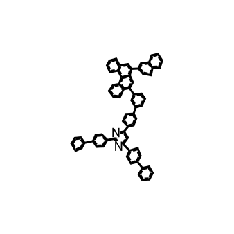 c1ccc(-c2ccc(-c3cc(-c4ccc(-c5cccc(-c6cc7c(-c8ccc9ccccc9c8)cc8ccccc8c7c7ccccc67)c5)cc4)nc(-c4ccc(-c5ccccc5)cc4)n3)cc2)cc1